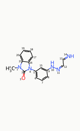 Cn1c(=O)n(-c2cccc(N/N=C\C=N)c2)c2ccccc21